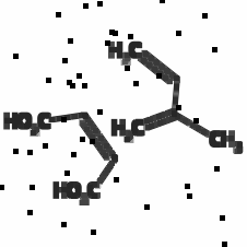 C=CC(=C)C.O=C(O)/C=C\C(=O)O